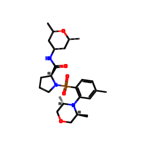 Cc1ccc(S(=O)(=O)N2CCC[C@H]2C(=O)NC2CC(C)OC(C)C2)c(N2[C@@H](C)COC[C@@H]2C)c1